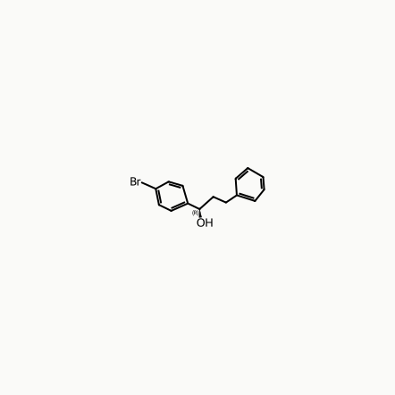 O[C@H](CCc1ccccc1)c1ccc(Br)cc1